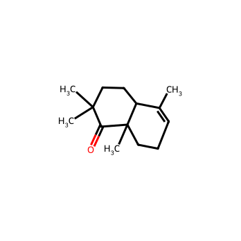 CC1=CCCC2(C)C(=O)C(C)(C)CCC12